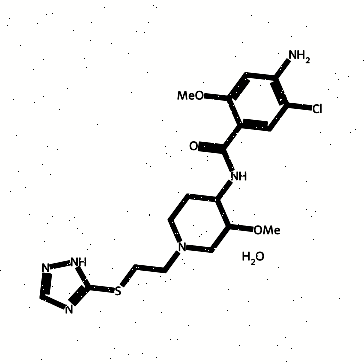 COc1cc(N)c(Cl)cc1C(=O)NC1CCN(CCSc2ncn[nH]2)CC1OC.O